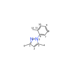 Cc1cc(C)n(-c2c[c]ccc2C)n1